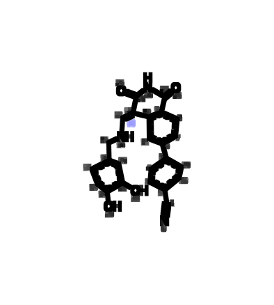 N#Cc1ccc(-c2ccc3c(c2)/C(=C\NCc2ccc(O)c(O)c2)C(=O)NC3=O)cc1